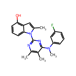 Cc1nc(-n2c(C)cc3c(O)cccc32)nc(N(C)c2cccc(F)c2)c1C